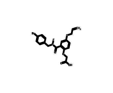 C=CCOc1ccc(OCC(=O)O)c(C(=O)N(F)Cc2ccc(Br)cc2)c1